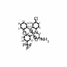 NC(=O)CN(c1ccc(Cl)cc1Cc1ccccc1Cl)S(=O)(=O)c1cccc(C(F)(F)F)c1